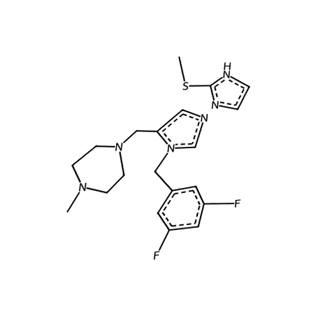 CN1CCN(Cc2cncn2Cc2cc(F)cc(F)c2)CC1.CSc1ncc[nH]1